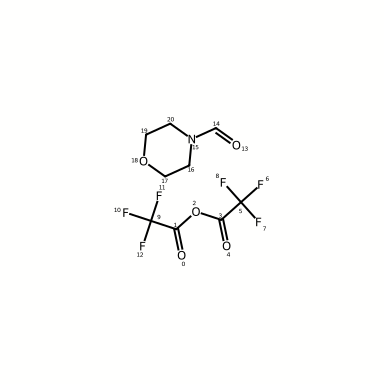 O=C(OC(=O)C(F)(F)F)C(F)(F)F.O=CN1CCOCC1